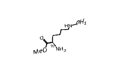 COC(=O)[C@H](N)CCCCNP